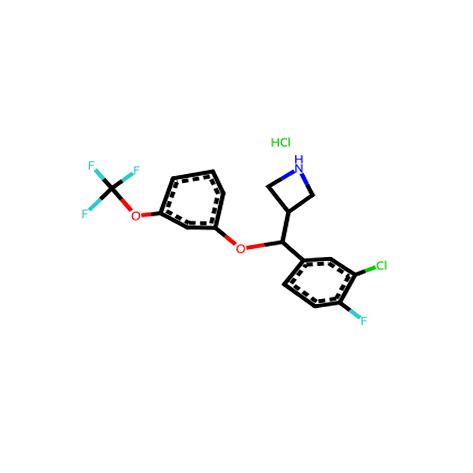 Cl.Fc1ccc(C(Oc2cccc(OC(F)(F)F)c2)C2CNC2)cc1Cl